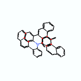 C=C(/C=C\C(=C)N(c1ccccc1C1=C=C=c2ccccc2=C1)c1ccccc1-c1cc2ccccc2c2ccccc12)c1cccc2ccccc12